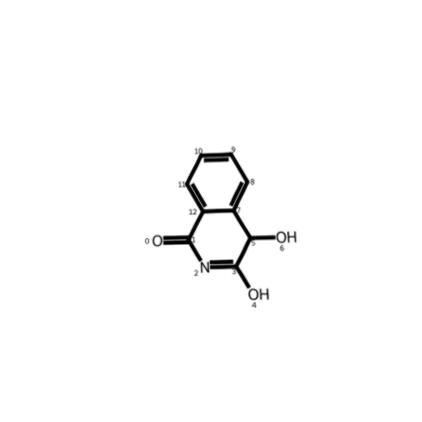 O=C1N=C(O)C(O)c2ccccc21